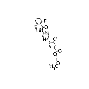 COCCOC(=O)c1ccc(-c2cnc(NC(=O)c3c(F)cccc3F)cn2)c(Cl)c1